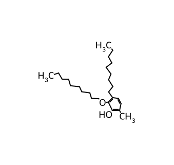 CCCCCCCCCCOc1c(CCCCCCCCC)ccc(C)c1O